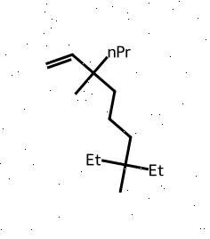 C=CC(C)(CCC)CCCC(C)(CC)CC